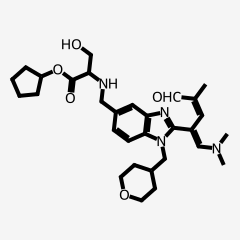 C/C(C=O)=C/C(=C\N(C)C)c1nc2cc(CNC(CO)C(=O)OC3CCCC3)ccc2n1CC1CCOCC1